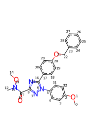 COc1ccc(-n2nc(C(=O)N(C)OC)nc2-c2ccc(OCc3ccccc3)cc2)cc1